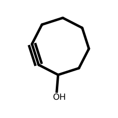 OC1C#CCCCCC1